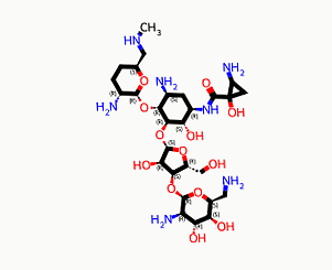 CNC[C@@H]1CC[C@@H](N)[C@@H](O[C@H]2[C@H](O[C@@H]3O[C@H](CO)[C@@H](O[C@H]4O[C@@H](CN)[C@@H](O)[C@H](O)[C@H]4N)[C@H]3O)[C@@H](O)[C@H](NC(=O)C3(O)CC3N)C[C@@H]2N)O1